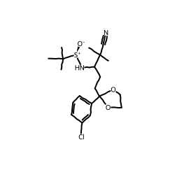 CC(C)(C#N)C(CCC1(c2cccc(Cl)c2)OCCO1)N[S@+]([O-])C(C)(C)C